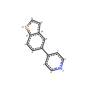 [c]1c(-c2ccncc2)ccc2sccc12